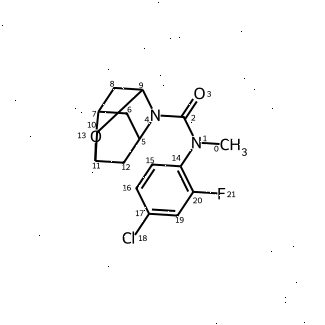 CN(C(=O)N1C2CC3CC1CC(C2)O3)c1ccc(Cl)cc1F